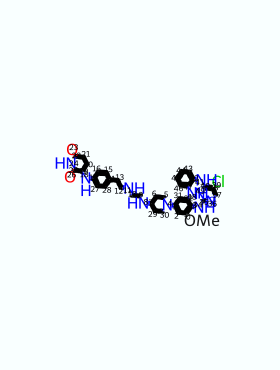 COc1cc(N2CCC(NCCNCCc3ccc(NC4CCC(=O)NC4=O)cc3)CC2)ccc1Nc1ncc(Cl)c(Nc2ccccc2N)n1